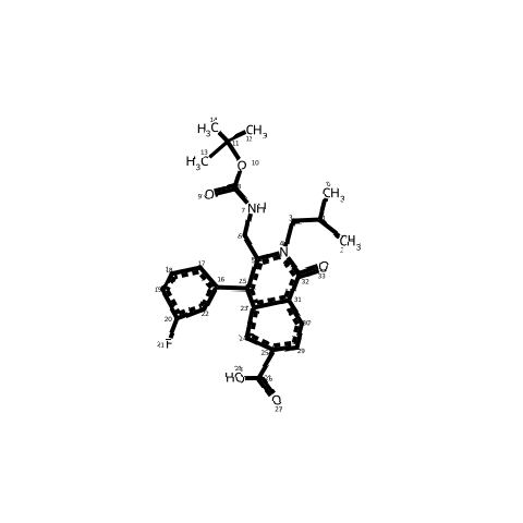 CC(C)Cn1c(CNC(=O)OC(C)(C)C)c(-c2cccc(F)c2)c2cc(C(=O)O)ccc2c1=O